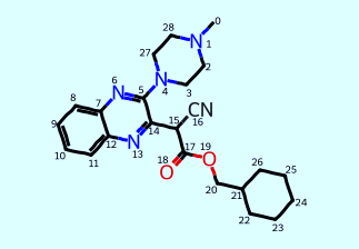 CN1CCN(c2nc3ccccc3nc2C(C#N)C(=O)OCC2CCCCC2)CC1